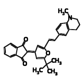 CN1CCCc2cc(C=CC3=CC(=C4C(=O)c5ccccc5C4=O)C=C(C(C)(C)C)O3)ccc21